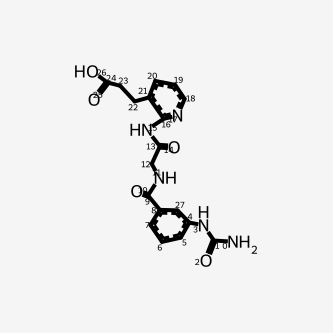 NC(=O)Nc1cccc(C(=O)NCC(=O)Nc2ncccc2CCC(=O)O)c1